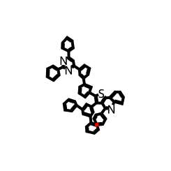 c1ccc(-c2cc(-c3ccccc3)cc(-c3c(-c4cccc(-c5cccc(-c6cc(-c7ccccc7)nc(-c7ccccc7)n6)c5)c4)sc4c3c(-c3ccccc3)nc3ccccc34)c2)cc1